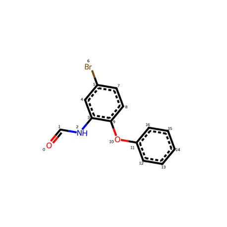 O=CNc1cc(Br)ccc1Oc1ccccc1